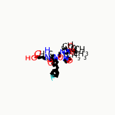 C[C@@H]1COCCN1C[C@H]1CN(C(=O)OC(C)(C)C)[C@H](C)CN1CC(=O)N1C[C@@](C)(C(=O)NCCCC(=O)O)c2ccc(Cc3ccc(F)cc3)cc21